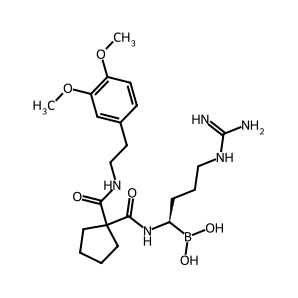 COc1ccc(CCNC(=O)C2(C(=O)N[C@@H](CCCNC(=N)N)B(O)O)CCCC2)cc1OC